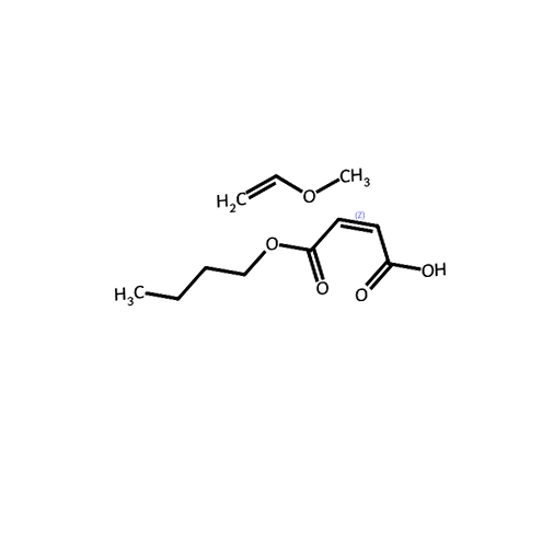 C=COC.CCCCOC(=O)/C=C\C(=O)O